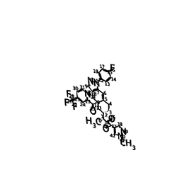 C[C@H]([C@H]1CCC2=Cc3c(cnn3-c3ccc(F)cc3)C[C@]2(C(=O)c2cc(C(F)(F)F)ccn2)C1)S(=O)(=O)c1cnn(C)c1